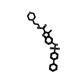 Cc1c(C(=O)NCCN2CCOCC2)oc2ccc(NS(=O)(=O)c3ccc(-c4ccccc4)cc3)cc12